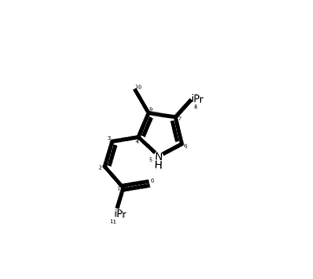 C=C(/C=C\c1[nH]cc(C(C)C)c1C)C(C)C